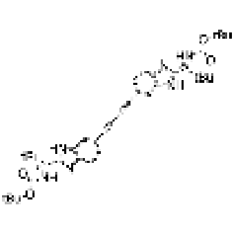 CC(C)(C)OC(=O)N[C@H](c1nc2ccc(C#CC#Cc3ccc4nc([C@@H](NC(=O)OC(C)(C)C)C(C)(C)C)[nH]c4c3)cc2[nH]1)C(C)(C)C